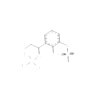 CC[Si](CC)(CC)OC(CI)c1cccc(NS(C)(=O)=O)c1F